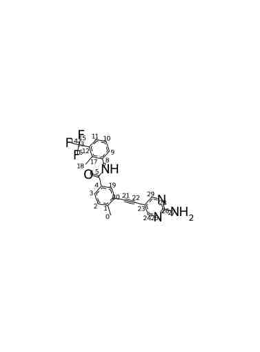 Cc1ccc(C(=O)Nc2cccc(C(F)(F)F)c2C)cc1C#Cc1cnc(N)nc1